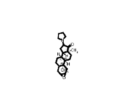 C[C@]12CC3OC3CC1CC[C@@H]1[C@H]2CC[C@]2(C)C(=O)C(N3CCCC3)C[C@@H]12